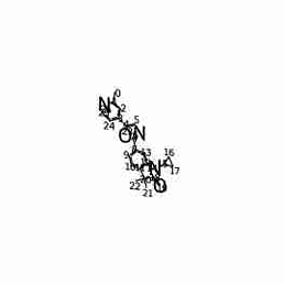 Cc1cc(-c2cnc(-c3ccc4c(c3)N(C3CC3)C(=O)C4(C)C)o2)ccn1